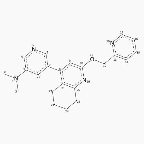 CN(C)c1cncc(-c2cc(OCc3ccccn3)nc3c2CCCC3)c1